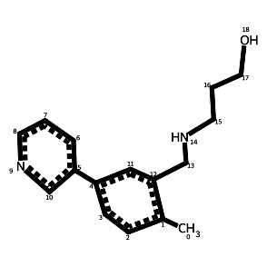 Cc1ccc(-c2c[c]cnc2)cc1CNCCCO